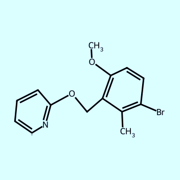 COc1ccc(Br)c(C)c1COc1ccc[c]n1